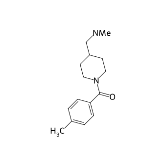 CNCC1CCN(C(=O)c2ccc(C)cc2)CC1